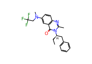 CC[C@H](Cc1ccccc1)n1c(C)nc2ccc(N(C)CC(F)(F)F)cc2c1=O